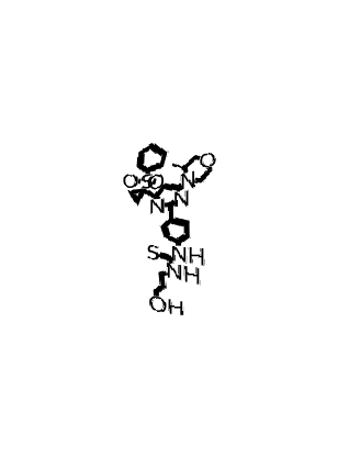 C[C@H]1COCCN1c1cc(C2(S(=O)(=O)c3ccccc3)CC2)nc(-c2ccc(NC(=S)NCCCO)cc2)n1